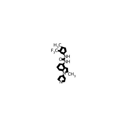 Cc1ccc(NC(=O)Nc2cccc3c2cc(C)n3-c2ccncc2)cc1C(F)(F)F